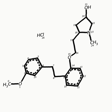 COc1cccc(CCc2ccccc2OCCC2CC(O)CN2C)c1.Cl